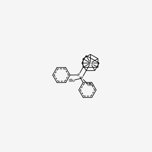 CC(C)(C)P(C(C)(C)C)[C]12[CH]3[CH]4[CH]5[CH]1[Fe]45321678[CH]2[CH]1[CH]6[C]7(P(c1ccccc1)c1ccccc1)[CH]28